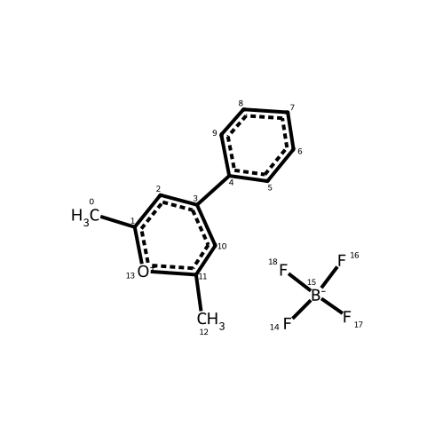 Cc1cc(-c2ccccc2)cc(C)[o+]1.F[B-](F)(F)F